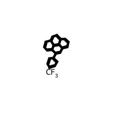 FC(F)(F)c1ccc(-c2cc3cccc4ccc5cccc2c5c43)cc1